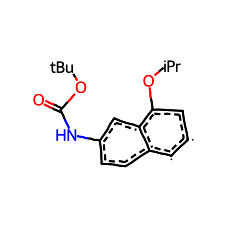 CC(C)Oc1c[c][c]c2ccc(NC(=O)OC(C)(C)C)cc12